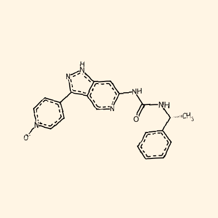 C[C@@H](NC(=O)Nc1cc2[nH]nc(-c3cc[n+]([O-])cc3)c2cn1)c1ccccc1